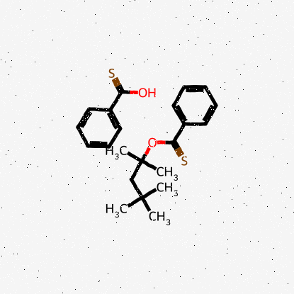 CC(C)(C)CC(C)(C)OC(=S)c1ccccc1.OC(=S)c1ccccc1